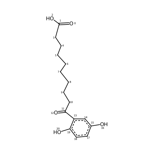 O=C(O)CCCCCCCCC(=O)c1cc(O)ccc1O